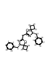 c1ccc(C[C@H]2N=C(CC3=N[C@H](Cc4ccccc4)C4(CCC4)O3)OC23CCC3)cc1